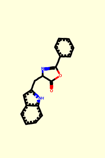 O=C1OC(c2ccccc2)=NC1Cc1cc2ccccc2[nH]1